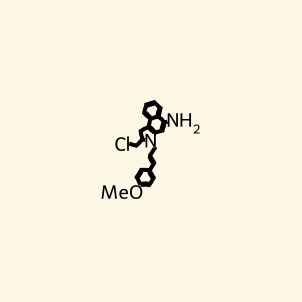 COc1ccc(/C=C/CN2c3cc(N)c4ccccc4c3CC2CCl)cc1